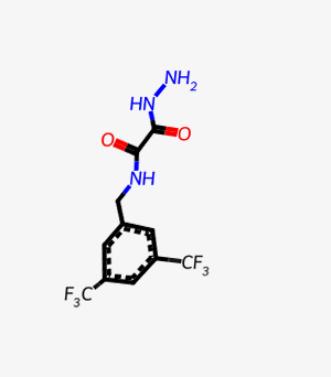 NNC(=O)C(=O)NCc1cc(C(F)(F)F)cc(C(F)(F)F)c1